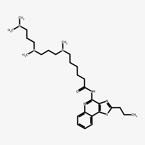 CCCc1nc2c(NC(=O)CCCCCN(C)CCCN(C)CCCN(C)C)nc3ccccc3c2s1